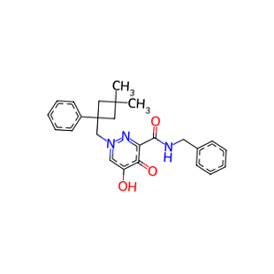 CC1(C)CC(Cn2cc(O)c(=O)c(C(=O)NCc3ccccc3)n2)(c2ccccc2)C1